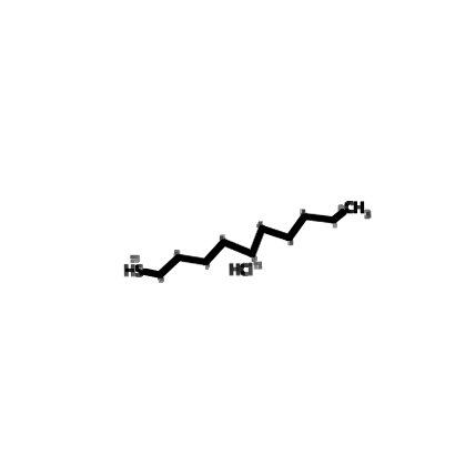 CCCCCCCCCCS.Cl